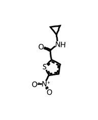 O=C(NC1CC1)c1ccc([N+](=O)[O-])s1